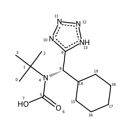 CC(C)(C)N(C(=O)O)[C@H](c1nnn[nH]1)C1CCCCC1